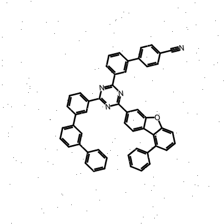 N#Cc1ccc(-c2cccc(-c3nc(-c4cccc(-c5cccc(-c6ccccc6)c5)c4)nc(-c4ccc5c(c4)oc4cccc(-c6ccccc6)c45)n3)c2)cc1